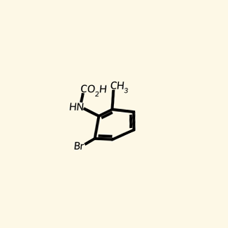 Cc1cccc(Br)c1NC(=O)O